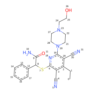 CCc1c(C#N)c(SC(C(N)=O)c2ccccc2)nc(N2CCN(CCO)CC2)c1C#N